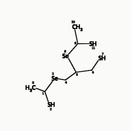 CC(S)[Se]CC(CS)[Se]C(C)S